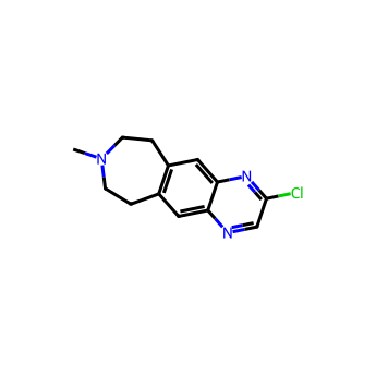 CN1CCc2cc3ncc(Cl)nc3cc2CC1